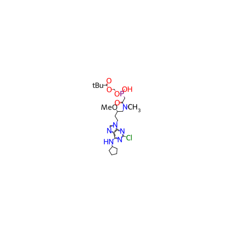 COC(CCn1cnc2c(NC3CCCC3)nc(Cl)nc21)CN(C)C(=O)CP(O)OCOC(=O)C(C)(C)C